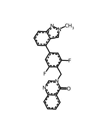 Cn1cc2c(-c3cc(F)c(Cn4cnc5ccccc5c4=O)c(F)c3)cccc2n1